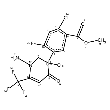 COC(=O)c1cc([N+]2([O-])CN(N)C(C(F)(F)F)=CC2=O)c(F)cc1Cl